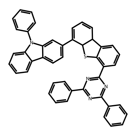 C1=CC2c3cccc(-c4nc(-c5ccccc5)nc(-c5ccccc5)n4)c3SC2C(c2ccc3c4ccccc4n(-c4ccccc4)c3c2)=C1